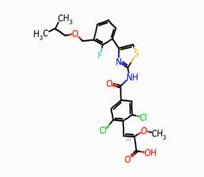 CO/C(=C\c1c(Cl)cc(C(=O)Nc2nc(-c3cccc(COCC(C)C)c3F)cs2)cc1Cl)C(=O)O